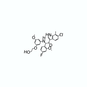 COc1cc(NC(C(=O)c2c[nH]c3c(C)c(Cl)ccc23)c2ccc(F)cc2OC)cc(OCCO)c1